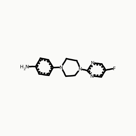 Nc1ccc(N2CCN(c3ncc(F)cn3)CC2)cc1